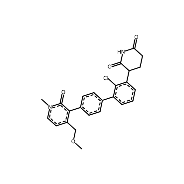 COCc1ccn(C)c(=O)c1-c1ccc(-c2cccc(C3CCC(=O)NC3=O)c2Cl)cc1